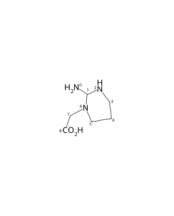 NC1NCCCN1CC(=O)O